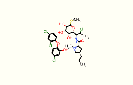 CCC[C@@H]1C[C@@H](C(=O)N[C@@H]([C@H]2O[C@H](SC)[C@H](O)[C@@H](O)[C@H]2O)[C@H](C)Cl)N(C)C1.Oc1cc(Cl)ccc1Oc1ccc(Cl)cc1Cl